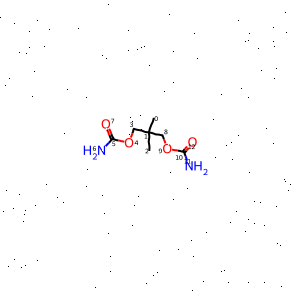 CC(C)(COC(N)=O)COC(N)=O